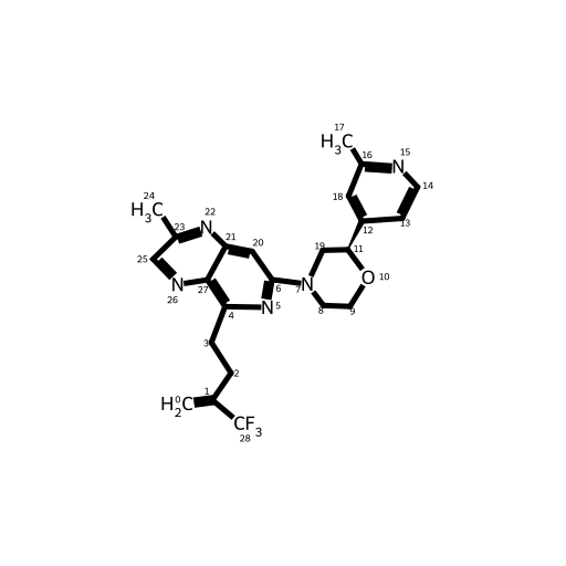 C=C(CCc1nc(N2CCO[C@H](c3ccnc(C)c3)C2)cc2nc(C)cnc12)C(F)(F)F